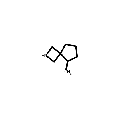 CC1CCCC12CNC2